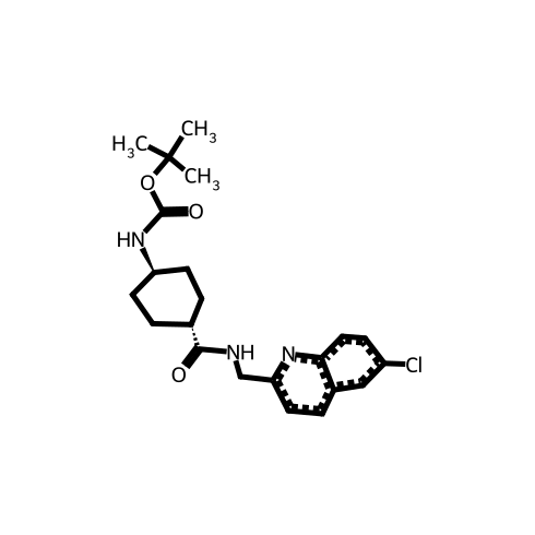 CC(C)(C)OC(=O)N[C@H]1CC[C@H](C(=O)NCc2ccc3cc(Cl)ccc3n2)CC1